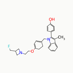 Cc1c(C2=C=C=C(O)C=C2)n(CC2=CC=C(OCCN3CC(CF)C3)CC2)c2ccccc12